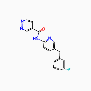 O=C(Nc1ccc(Cc2cccc(F)c2)cn1)c1ccnnc1